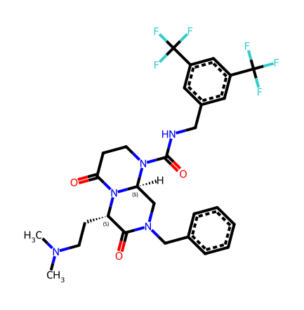 CN(C)CC[C@H]1C(=O)N(Cc2ccccc2)C[C@@H]2N(C(=O)NCc3cc(C(F)(F)F)cc(C(F)(F)F)c3)CCC(=O)N21